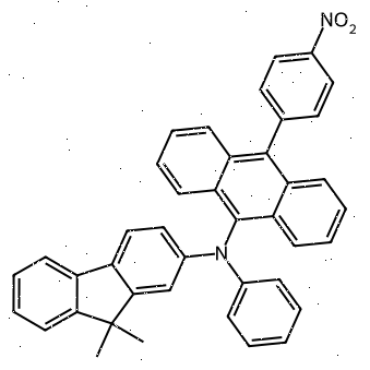 CC1(C)c2ccccc2-c2ccc(N(c3ccccc3)c3c4ccccc4c(-c4ccc([N+](=O)[O-])cc4)c4ccccc34)cc21